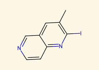 Cc1cc2cnccc2nc1I